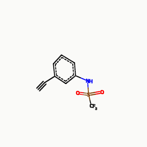 C#Cc1cccc(NS(=O)(=O)C(F)(F)F)c1